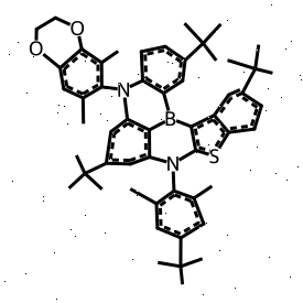 Cc1cc(C(C)(C)C)cc(C)c1N1c2cc(C(C)(C)C)cc3c2B(c2cc(C(C)(C)C)ccc2N3c2c(C)cc3c(c2C)OCCO3)c2c1sc1ccc(C(C)(C)C)cc21